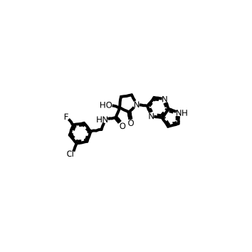 O=C(NCc1cc(F)cc(Cl)c1)C1(O)CCN(c2cnc3[nH]ccc3n2)C1=O